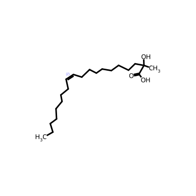 CCCCCCCC/C=C\CCCCCCCCC(C)(O)C(=O)O